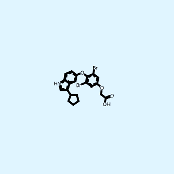 O=C(O)COc1cc(Br)c(Oc2ccc3[nH]cc(C4CCCC4)c3c2)c(Br)c1